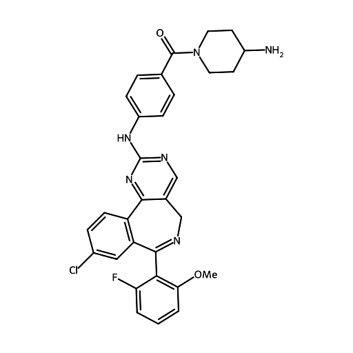 COc1cccc(F)c1C1=NCc2cnc(Nc3ccc(C(=O)N4CCC(N)CC4)cc3)nc2-c2ccc(Cl)cc21